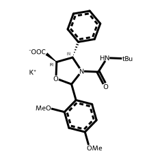 COc1ccc(C2O[C@@H](C(=O)[O-])[C@H](c3ccccc3)N2C(=O)NC(C)(C)C)c(OC)c1.[K+]